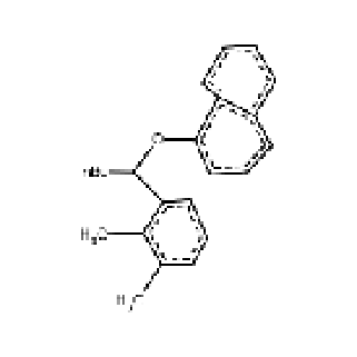 C[CH]CCC(Oc1cccc2ccccc12)c1cccc(C)c1C